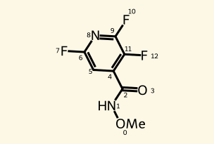 CONC(=O)c1cc(F)nc(F)c1F